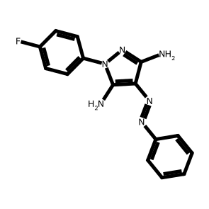 Nc1nn(-c2ccc(F)cc2)c(N)c1N=Nc1ccccc1